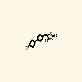 O=C1NC(=O)/C(=C\c2ccc(-c3ccc(Cl)cc3)cc2)S1